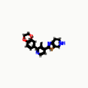 Cc1c(-c2nc3c(s2)CNCC3)ccnc1-c1ccc2c(c1)OCCO2